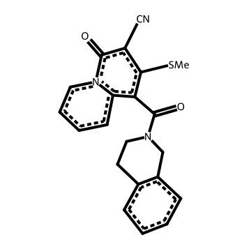 CSc1c(C#N)c(=O)n2ccccc2c1C(=O)N1CCc2ccccc2C1